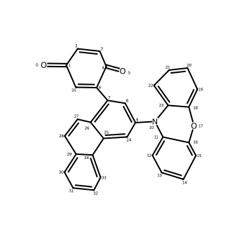 O=C1C=CC(=O)C(c2cc(N3c4ccccc4Oc4ccccc43)cc3c2ccc2ccccc23)=C1